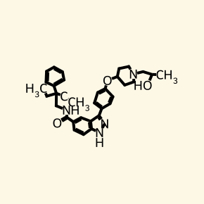 CCC(CC)(CNC(=O)c1ccc2[nH]nc(-c3ccc(OC4CCN(CC(C)O)CC4)cc3)c2c1)c1ccccc1